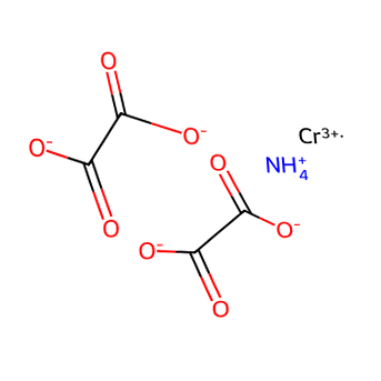 O=C([O-])C(=O)[O-].O=C([O-])C(=O)[O-].[Cr+3].[NH4+]